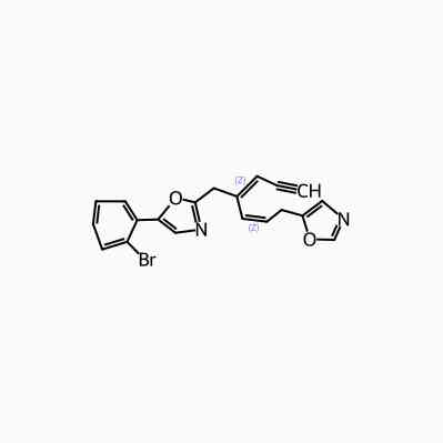 C#C/C=C(\C=C/Cc1cnco1)Cc1ncc(-c2ccccc2Br)o1